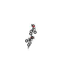 O=C(C[C@H]1CN2CCC1CC2)N1CCc2ccc(C3CN4CCC3[C@H](OC(=O)N3CCc5cc(F)ccc5[C@@H]3c3ccccc3)C4)cc2[C@H]1c1ccccc1